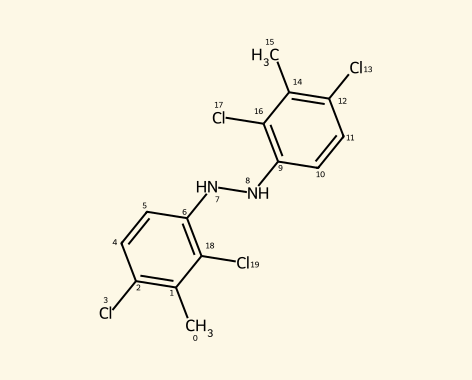 Cc1c(Cl)ccc(NNc2ccc(Cl)c(C)c2Cl)c1Cl